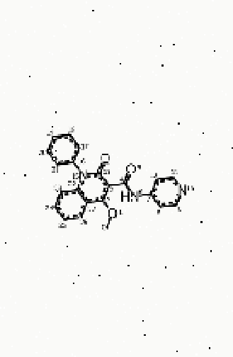 COc1c(C(=O)Nc2ccncc2)c(=O)n(-c2ccccc2)c2ccccc12